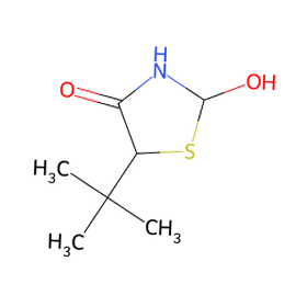 CC(C)(C)C1SC(O)NC1=O